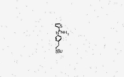 CC(C)(C)CCc1ccc(N=C(N)c2cccs2)cc1